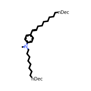 CCCCCCCCCCCCCCCCCC=Cc1ccc(N(C)CCCCCCCCCCCCCCCCCC)cc1